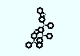 c1ccc(N(c2cc(N(c3ccccc3)c3ccccc3)c3c(c2)oc2ccc(N(c4ccccc4)c4ccccc4)cc23)c2ccc3c(c2)sc2ccccc23)cc1